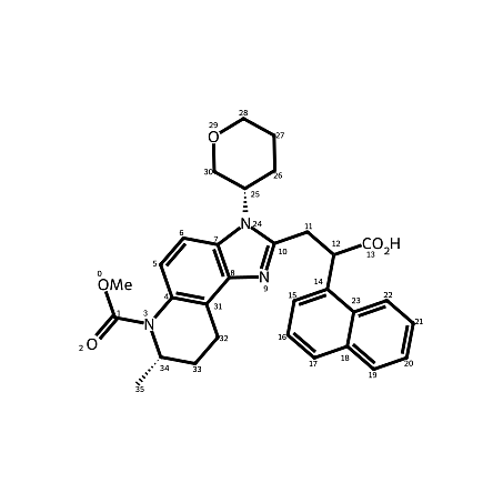 COC(=O)N1c2ccc3c(nc(CC(C(=O)O)c4cccc5ccccc45)n3[C@H]3CCCOC3)c2CC[C@@H]1C